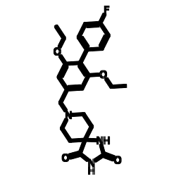 CCOc1cc(CN2CCC3(CC2)NC(=O)NC3=O)cc(OCC)c1-c1ccc(F)cc1